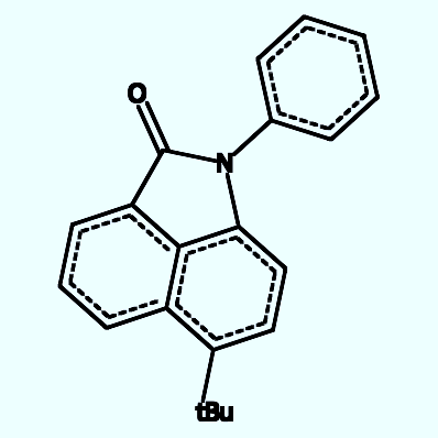 CC(C)(C)c1ccc2c3c(cccc13)C(=O)N2c1ccccc1